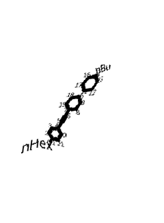 CCCCCCc1ccc(C#CC2CCC([C@H]3CC[C@H](CCCC)CC3)CC2)cc1